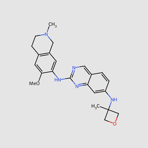 COc1cc2c(cc1Nc1ncc3ccc(NC4(C)COC4)cc3n1)CN(C)CC2